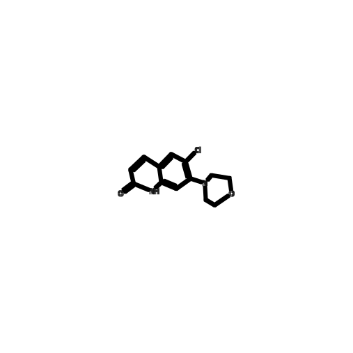 O=c1ccc2cc(Cl)c(N3CCOCC3)cc2[nH]1